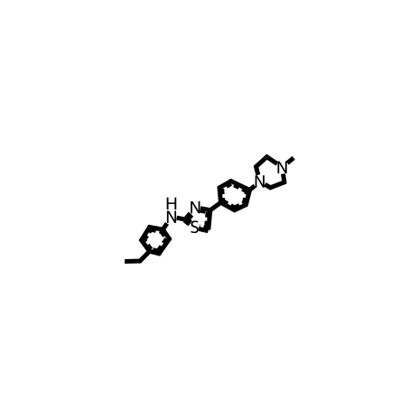 CCc1ccc(Nc2nc(-c3ccc(N4CCN(C)CC4)cc3)cs2)cc1